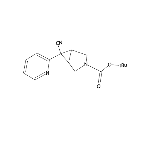 CC(C)(C)OC(=O)N1CC2C(C1)C2(C#N)c1ccccn1